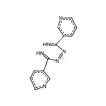 N=C(/N=N\C(=N)c1cccnc1)c1cccnc1